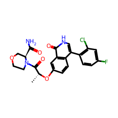 C[C@@H](Oc1ccc2c(-c3ccc(F)cc3Cl)c[nH]c(=O)c2c1)C(=O)N1CCOC[C@H]1C(N)=O